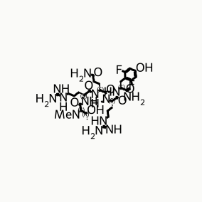 CN[C@H](C(=O)N[C@@H](CCCNC(=N)N)C(=O)N[C@@H](CCC(N)=O)C(=O)N(C)[C@@H](CCCNC(=N)N)C(=O)N[C@@H](Cc1c(F)cc(O)cc1F)C(N)=O)[C@@H](C)O